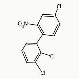 O=[N+]([O-])c1cc(Cl)ccc1-c1cccc(Cl)c1Cl